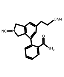 COCCc1cc2c(c(-c3ccccc3C(N)=O)c1)CN(C#N)C2